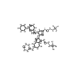 C[Si](C)(C)CCOCn1cc(Nc2ccnc(-c3ccccc3)n2)c(-c2nc3cc(CN4CCOCC4)ccc3n2COCC[Si](C)(C)C)n1